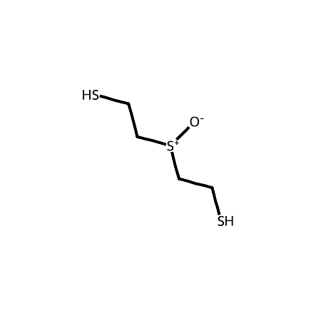 [O-][S+](CCS)CCS